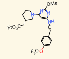 CCOC(=O)C[C@@H]1CCCN(c2cc(NCCc3ccc(OC(F)(F)F)cc3)nc(OC)n2)C1